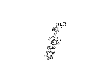 CCOC(=O)c1ccc(C#Cc2ccc3c(c2)C(C)(C)CC(OC(=O)c2cccnc2)S3)nc1